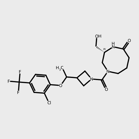 CC(Oc1ccc(C(F)(F)F)cc1Cl)C1CN(C(=O)N2CCCC(=O)N[C@@H](CO)C2)C1